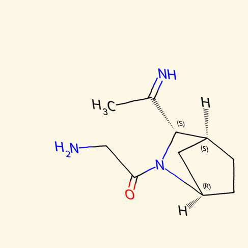 CC(=N)[C@@H]1[C@H]2CC[C@H](C2)N1C(=O)CN